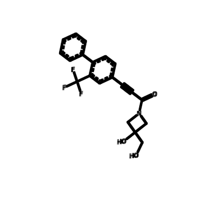 O=C(C#Cc1ccc(-c2ccccc2)c(C(F)(F)F)c1)N1CC(O)(CO)C1